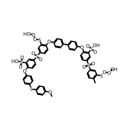 COc1ccc(Sc2ccc(Oc3ccc(S(=O)(=O)c4ccc(Oc5ccc(-c6ccc(Oc7ccc(S(=O)(=O)c8ccc(C)c(SOOO)c8)cc7S(=O)(=O)O)cc6)cc5)c(SOOO)c4)cc3S(=O)(=O)O)cc2)cc1